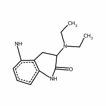 CCN(CC)C1Cc2c([NH])cccc2NC1=O